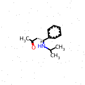 CC(=O)C[C@@H](NC(C)C)c1ccccc1